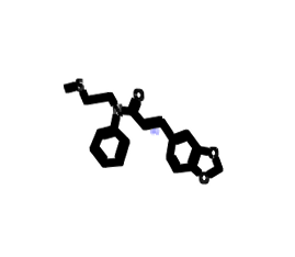 CSCCN(C(=O)/C=C/c1ccc2c(c1)OCO2)c1ccccc1